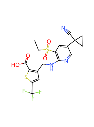 CCS(=O)(=O)c1cc(C2(C#N)CC2)cnc1NCc1cc(C(F)(F)F)sc1C(=O)O